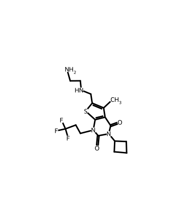 Cc1c(CNCCN)sc2c1c(=O)n(C1CCC1)c(=O)n2CCC(F)(F)F